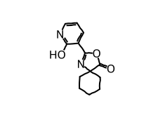 O=C1OC(c2cccnc2O)=NC12CCCCC2